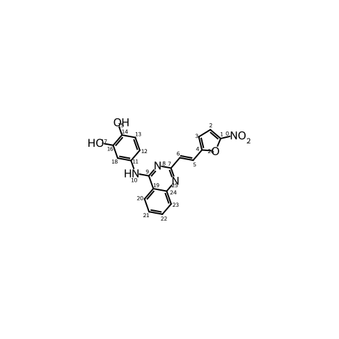 O=[N+]([O-])c1ccc(C=Cc2nc(Nc3ccc(O)c(O)c3)c3ccccc3n2)o1